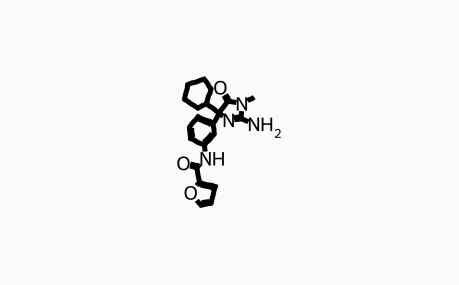 CN1C(=O)C(c2cccc(NC(=O)c3ccco3)c2)(C2CCCCC2)N=C1N